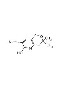 CC1(C)Cc2nc(O)c(C#N)cc2CO1